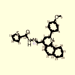 COc1ccc(-c2cc(/C=N/NC(=O)c3cccs3)c3ccc4ccccc4c3n2)cc1